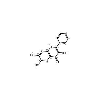 O=c1c(O)c(-c2ccccc2)oc2cc(O)c(O)cc12